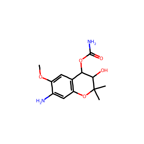 COc1cc2c(cc1N)OC(C)(C)C(O)C2OC(N)=O